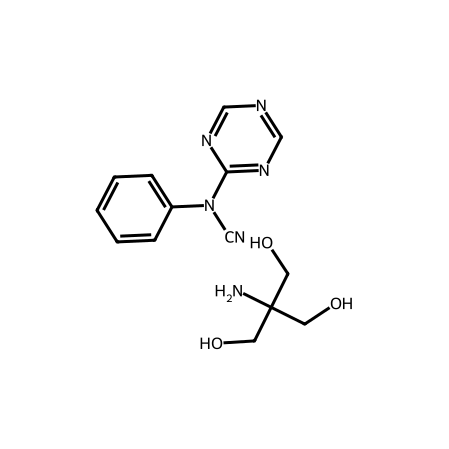 N#CN(c1ccccc1)c1ncncn1.NC(CO)(CO)CO